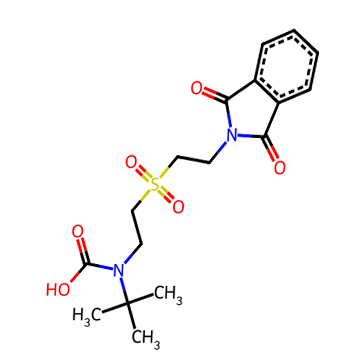 CC(C)(C)N(CCS(=O)(=O)CCN1C(=O)c2ccccc2C1=O)C(=O)O